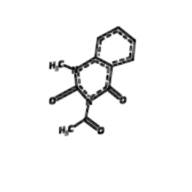 CC(=O)n1c(=O)c2ccccc2n(C)c1=O